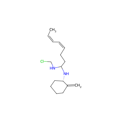 C=C1CCCC[C@@H]1NC(CC/C=C\C=C/C)NCCl